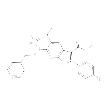 CCc1cc2c(C(=O)NC)c(-c3ccc(F)cc3)oc2nc1N(CCC1C=CN=CC1)S(C)(=O)=O